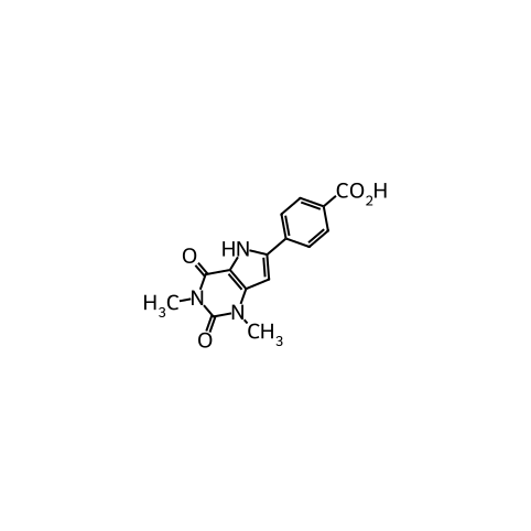 Cn1c(=O)c2[nH]c(-c3ccc(C(=O)O)cc3)cc2n(C)c1=O